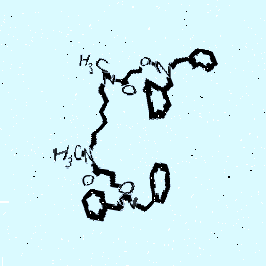 CN(CCCCCCN(C)C(=O)CCON(Cc1ccccc1)Cc1ccccc1)C(=O)CCON(Cc1ccccc1)Cc1ccccc1